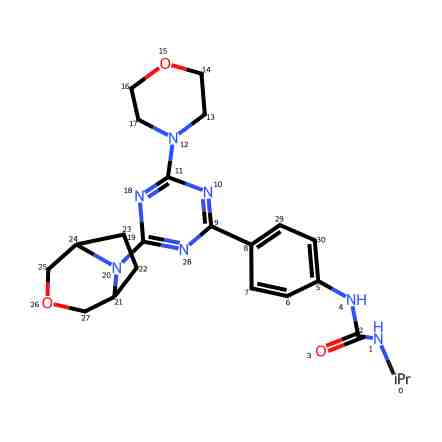 CC(C)NC(=O)Nc1ccc(-c2nc(N3CCOCC3)nc(N3C4CCC3COC4)n2)cc1